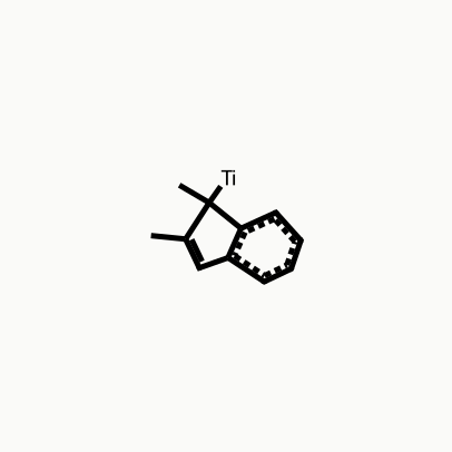 CC1=Cc2ccccc2[C]1(C)[Ti]